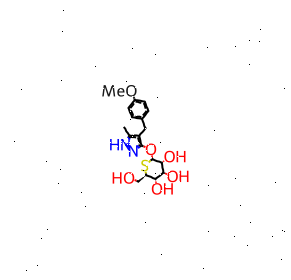 COc1ccc(Cc2c(O[C@@H]3S[C@H](CO)[C@@H](O)[C@H](O)[C@H]3O)n[nH]c2C)cc1